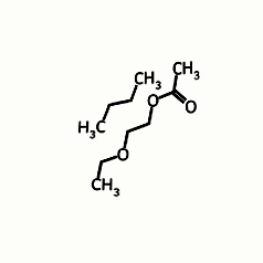 CCCC.CCOCCOC(C)=O